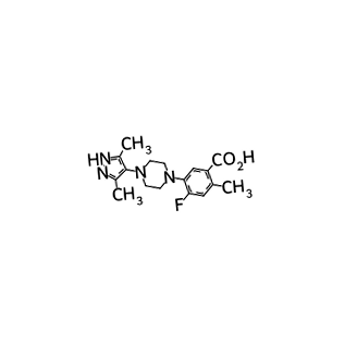 Cc1cc(F)c(N2CCN(c3c(C)n[nH]c3C)CC2)cc1C(=O)O